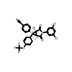 C[C@@]12C(=O)N(c3cc(Cl)cc(Cl)c3)C(=O)[C@@H]1[C@]2(c1ccc(C#N)cc1)C1C=CC(OC(F)(F)F)=CC1